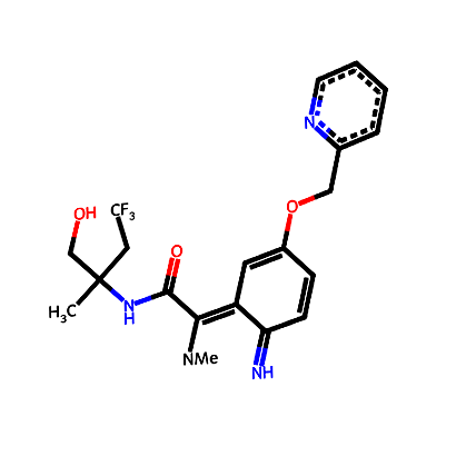 CN/C(C(=O)NC(C)(CO)CC(F)(F)F)=C1/C=C(OCc2ccccn2)C=CC1=N